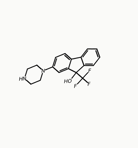 OC1(C(F)(F)F)c2ccccc2-c2ccc(N3CCNCC3)cc21